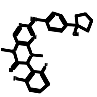 CN1C(=O)C(c2c(F)cccc2F)N(C)c2nc(Nc3ccc(C4(C#N)CCCC4)cc3)ncc21